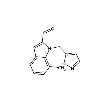 Cc1cccc2cc(C=O)n(Cc3ccno3)c12